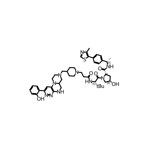 Cc1ncsc1-c1ccc([C@H](C)NC(=O)[C@@H]2C[C@@H](O)CN2C(=O)[C@@H](NC(=O)CCN2CCC(CN3CCN4c5cc(-c6ccccc6O)nnc5NCC4C3)CC2)C(C)(C)C)cc1